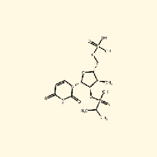 CC(C)P(O)(=S)O[C@@H]1[C@H](C)[C@@H](COP(=O)(O)O)O[C@H]1n1ccc(=O)[nH]c1=O